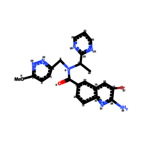 COc1ccc(CN(C(=O)c2ccc3nc(N)c(Br)cc3c2)C(C)c2ncccn2)nn1